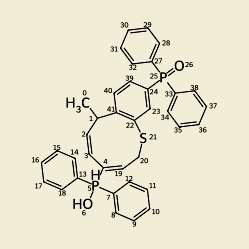 CC1/C=C\C([PH](O)(c2ccccc2)c2ccccc2)=C/CSc2cc(P(=O)(c3ccccc3)c3ccccc3)ccc21